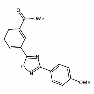 COC(=O)C1=CC(c2nc(-c3ccc(OC)cc3)no2)=CCC1